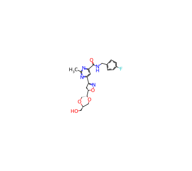 Cc1nc(C(=O)NCc2ccc(F)cc2)cc(C2=NO[C@@H]([C@H]3CO[C@H](CO)CO3)C2)n1